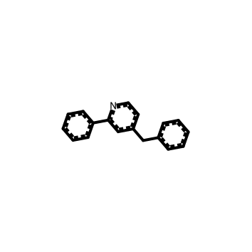 c1ccc(Cc2ccnc(-c3ccccc3)c2)cc1